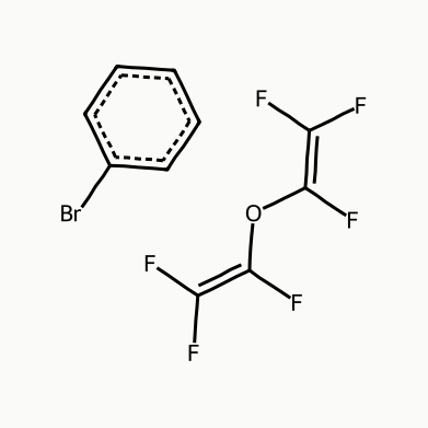 Brc1ccccc1.FC(F)=C(F)OC(F)=C(F)F